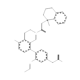 CCOc1cc(CC(=O)O)ccc1-c1ccc(F)c2c1CN(C(=O)CC1(C)CCCc3ccccc31)CC2